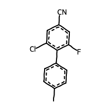 Cc1ccc(-c2c(F)cc(C#N)cc2Cl)cc1